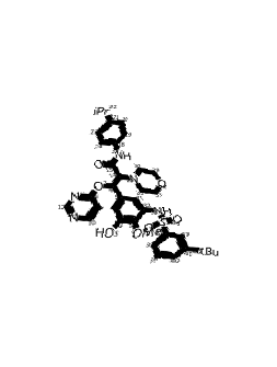 COc1c(O)cc(C(Oc2ccncn2)C(C(=O)Nc2ccc(C(C)C)cc2)N2CCOCC2)cc1NS(=O)(=O)c1cccc(C(C)(C)C)c1